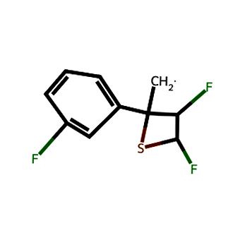 [CH2]C1(c2cccc(F)c2)SC(F)C1F